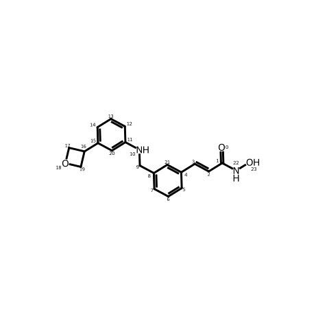 O=C(/C=C/c1cccc(CNc2cccc(C3COC3)c2)c1)NO